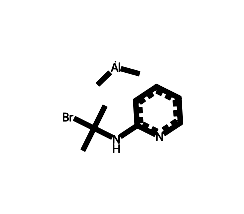 CC(C)(Br)Nc1ccccn1.[CH3][Al][CH3]